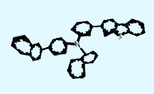 c1cc(-c2ccc3c(c2)sc2ccccc23)cc(N(c2ccc(-c3ccc4ccccc4c3)cc2)c2cccc3ccccc23)c1